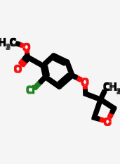 COC(=O)c1ccc(OCC2(C)COC2)cc1Cl